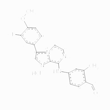 COc1ccc(-c2cnc3c(Nc4ccc(C=O)c(C)c4)nccn23)cc1F.Cl